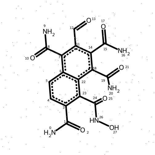 NC(=O)c1ccc2c(C(N)=O)c([C]=O)c(C(N)=O)c(C(N)=O)c2c1C(=O)NO